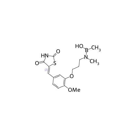 COc1ccc(/C=C2\SC(=O)NC2=O)cc1OCCCN(C)B(C)O